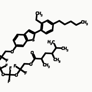 CCCCCc1ccc(-c2cc3ccc(OCC(F)(F)OC(F)(F)OC(F)(F)OC(F)(F)COC(=O)C(C)CC(C)C(C)C)cc3s2)c(CC)c1